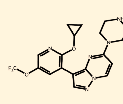 FC(F)(F)Oc1cnc(OC2CC2)c(-c2cnn3ccc(N4CCNCC4)nc23)c1